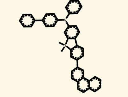 CS1(C)c2cc(-c3ccc4ccc5ccccc5c4c3)ccc2-c2ccc(N(c3ccccc3)c3ccc(-c4ccccc4)cc3)cc21